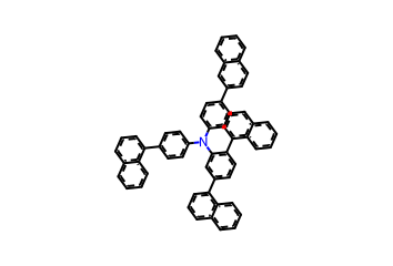 c1ccc2cc(-c3ccc(N(c4ccc(-c5cccc6ccccc56)cc4)c4cc(-c5cccc6ccccc56)ccc4-c4cccc5ccccc45)cc3)ccc2c1